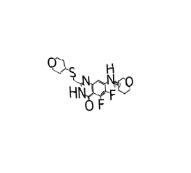 O=c1[nH]c(CSC2CCOCC2)nc2cc(N[C@@H]3CCCOC3)c(F)c(F)c12